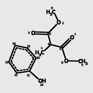 COC(=O)C(C)C(=O)OC.Oc1ccccc1